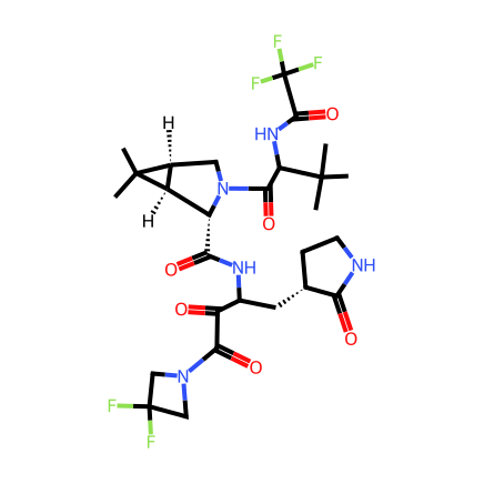 CC(C)(C)C(NC(=O)C(F)(F)F)C(=O)N1C[C@H]2[C@@H]([C@H]1C(=O)NC(C[C@@H]1CCNC1=O)C(=O)C(=O)N1CC(F)(F)C1)C2(C)C